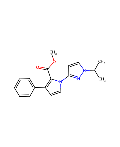 COC(=O)c1c(-c2ccccc2)ccn1-c1ccn(C(C)C)n1